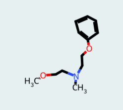 COCCN(C)CCOc1ccccc1